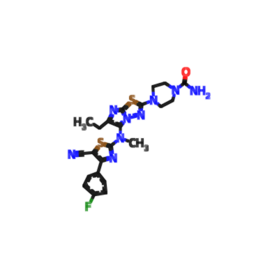 CCc1nc2sc(N3CCN(C(N)=O)CC3)nn2c1N(C)c1nc(-c2ccc(F)cc2)c(C#N)s1